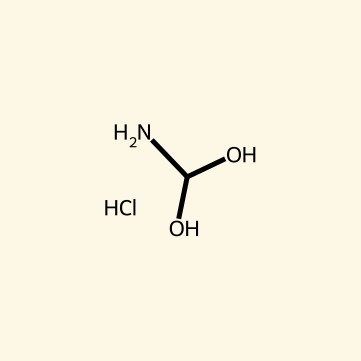 Cl.NC(O)O